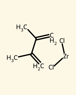 C=C(C)C(=C)C.[Cl][Zr][Cl]